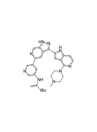 C=C(Nc1cncc(-c2cc3c(-c4cc5c(N6CCN(C)CC6)nccc5[nH]4)n[nH]c3cn2)c1)C(C)(C)C